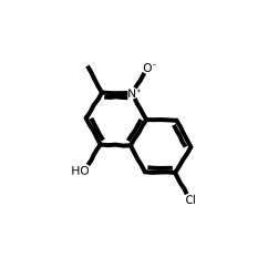 Cc1cc(O)c2cc(Cl)ccc2[n+]1[O-]